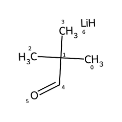 CC(C)(C)C=O.[LiH]